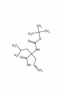 C=CCC(CC(C)C)(NC(=O)OC(C)(C)C)C(=O)O